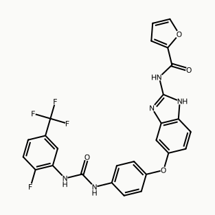 O=C(Nc1ccc(Oc2ccc3[nH]c(NC(=O)c4ccco4)nc3c2)cc1)Nc1cc(C(F)(F)F)ccc1F